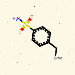 CSCc1ccc(S(N)(=O)=O)cc1